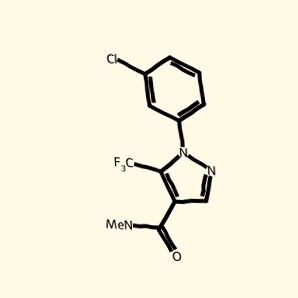 CNC(=O)c1cnn(-c2cccc(Cl)c2)c1C(F)(F)F